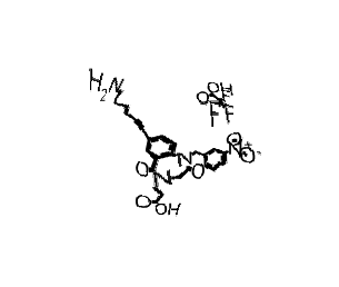 NCCCCC#Cc1ccc2c(c1)C(=O)N(CCC(=O)O)CC(=O)N2Cc1cccc([N+](=O)[O-])c1.O=C(O)C(F)(F)F